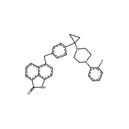 O=C1Nc2ccc(Cc3ccc(C4(N5CCN(c6ccccc6F)CC5)CC4)cc3)c3cccc1c23